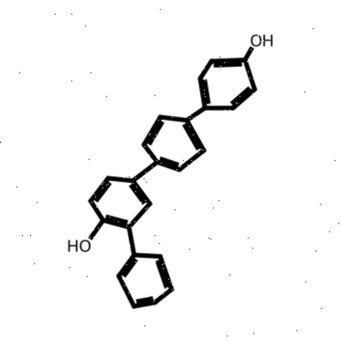 Oc1ccc(-c2ccc(-c3ccc(O)c(-c4ccccc4)c3)cc2)cc1